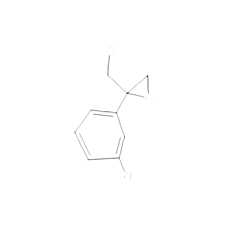 ClCC1(c2cccc(Cl)c2)CO1